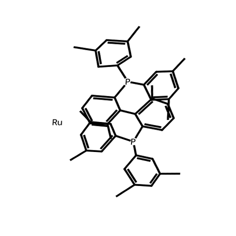 Cc1cc(C)cc(P(c2cc(C)cc(C)c2)c2cccc(C)c2-c2c(C)cccc2P(c2cc(C)cc(C)c2)c2cc(C)cc(C)c2)c1.[Ru]